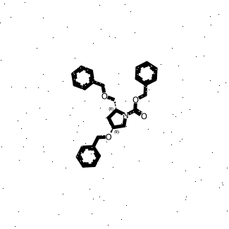 O=C(OCc1ccccc1)N1C[C@H](OCc2ccccc2)[CH][C@@H]1COCc1ccccc1